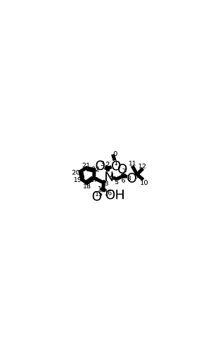 COC(=O)N(CC(=O)OC(C)(C)C)C(C(=O)O)c1ccccc1